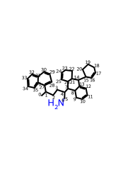 CC(CCC(CN)C1C2CC=CC=C2C(C2C=CCCC2)C2CCC=CC21)c1cccc2ccccc12